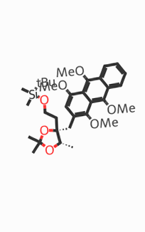 COc1cc(C[C@@]2(CCO[Si](C)(C)C(C)(C)C)OC(C)(C)O[C@H]2C)c(OC)c2c(OC)c3ccccc3c(OC)c12